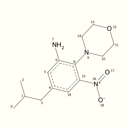 CC(C)Cc1cc(N)c(N2CCOCC2)c([N+](=O)[O-])c1